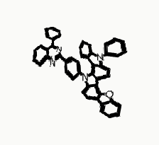 c1ccc(-c2nc(-c3ccc(-n4c5ccc6c7ccccc7oc6c5c5ccc6c(c7ccccc7n6-c6ccccc6)c54)cc3)nc3ccccc23)cc1